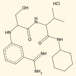 CC(C)C(NC(=O)C(CO)Nc1cccc(C(=N)N)c1)C(=O)NC1CCCCC1.Cl